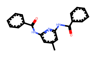 Cc1cc(NC(=O)c2ccccc2)nc(NC(=O)c2ccccc2)c1